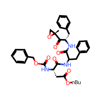 CCCCOC(=O)C[C@H](NC(=O)OCc1ccccc1)C(=O)NC(Cc1ccccc1)C(=O)N[C@@H](Cc1ccccc1)C(=O)[C@@]1(C)CO1